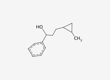 CC1CC1CCC(O)c1ccccc1